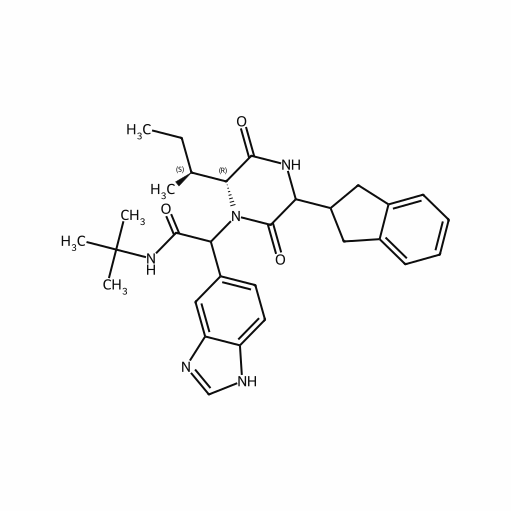 CC[C@H](C)[C@@H]1C(=O)NC(C2Cc3ccccc3C2)C(=O)N1C(C(=O)NC(C)(C)C)c1ccc2[nH]cnc2c1